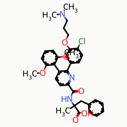 COc1cccc(OC)c1-c1ccc(C(=O)NC(C)(Cc2ccccc2)C(=O)O)nc1-c1ccc(Cl)c(OCCCN(C)C)c1